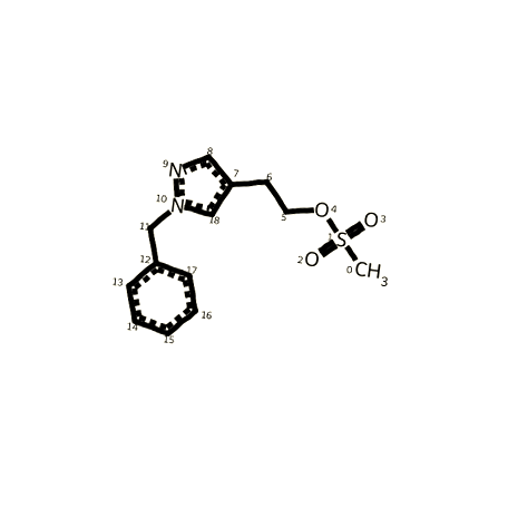 CS(=O)(=O)OCCc1cnn(Cc2ccccc2)c1